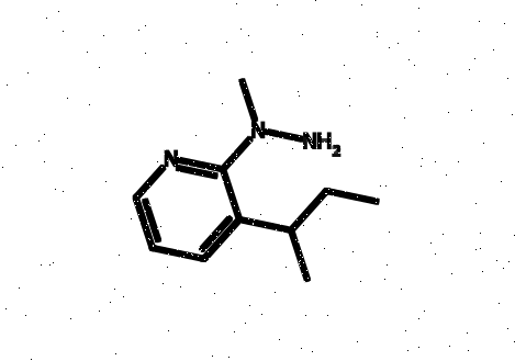 CCC(C)c1cccnc1N(C)N